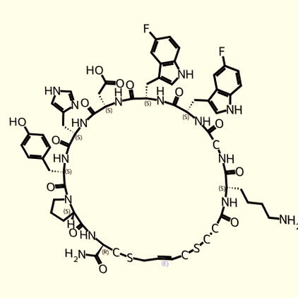 NCCCC[C@@H]1NC(=O)CCSC/C=C/CSC[C@@H](C(N)=O)NC(=O)[C@@H]2CCCN2C(=O)[C@H](Cc2ccc(O)cc2)NC(=O)[C@H](Cc2c[nH]cn2)NC(=O)[C@H](CC(=O)O)NC(=O)[C@H](Cc2c[nH]c3ccc(F)cc23)NC(=O)[C@H](Cc2c[nH]c3ccc(F)cc23)NC(=O)CNC1=O